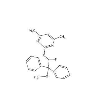 COC(c1ccccc1)(c1ccccc1)C(F)Oc1nc(C)cc(C)n1